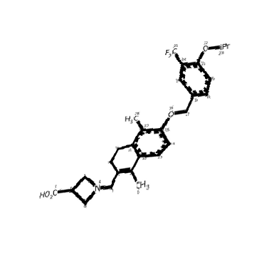 CC1=C(CN2CC(C(=O)O)C2)CCc2c1ccc(OCc1ccc(OC(C)C)c(C(F)(F)F)c1)c2C